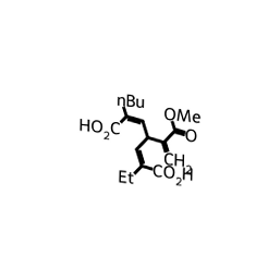 C=C(C(=O)OC)C(C=C(CC)C(=O)O)C=C(CCCC)C(=O)O